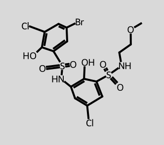 COCCNS(=O)(=O)c1cc(Cl)cc(NS(=O)(=O)c2cc(Br)cc(Cl)c2O)c1O